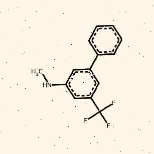 CNc1cc(-c2ccccc2)cc(C(F)(F)F)c1